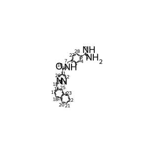 N=C(N)c1ccc(CNC(=O)c2cnn(Cc3ccc4ccccc4c3)c2)cc1